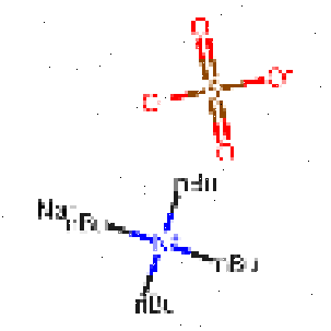 CCCC[N+](CCCC)(CCCC)CCCC.O=S(=O)([O-])[O-].[Na+]